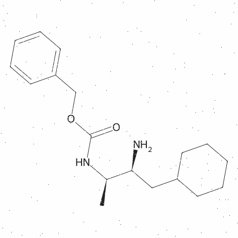 C[C@@H](NC(=O)OCc1ccccc1)[C@@H](N)CC1CCCCC1